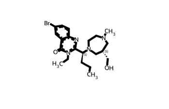 CCC[C@@H](c1nc2ccc(Br)cc2c(=O)n1CC)N1CCN(C)C[C@H](CO)C1